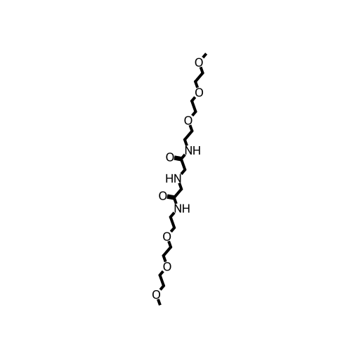 COCCOCCOCCNC(=O)CNCC(=O)NCCOCCOCCOC